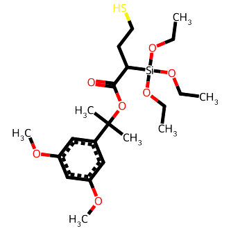 CCO[Si](OCC)(OCC)C(CCS)C(=O)OC(C)(C)c1cc(OC)cc(OC)c1